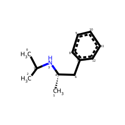 CC(C)N[C@@H](C)Cc1ccccc1